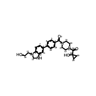 O=C(c1ccc(-c2ccc3c(c2)NCN3CCO)cc1)N1CCN(C(=O)C2(O)CC2)CC1